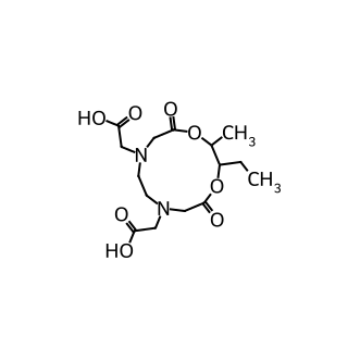 CCC1OC(=O)CN(CC(=O)O)CCN(CC(=O)O)CC(=O)OC1C